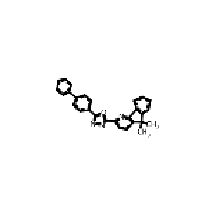 CC1(C)c2ccccc2-c2nc(-c3nnc(-c4ccc(-c5ccccc5)cc4)o3)ccc21